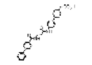 O=C(O)CC1CCC(c2ccc(NC(=O)CCNC(=O)c3ccc(-c4ccccc4)cc3)cc2)CC1